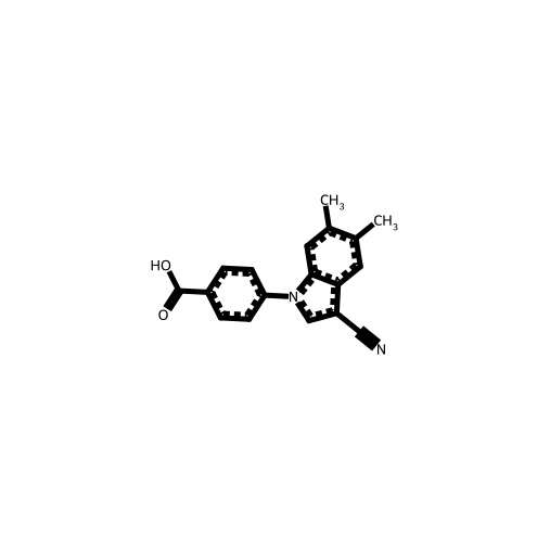 Cc1cc2c(C#N)cn(-c3ccc(C(=O)O)cc3)c2cc1C